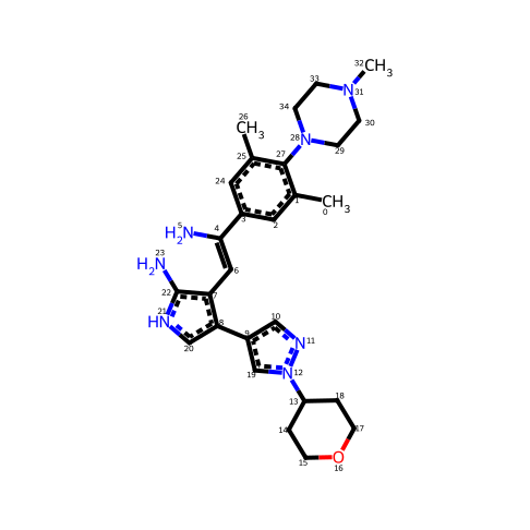 Cc1cc(/C(N)=C/c2c(-c3cnn(C4CCOCC4)c3)c[nH]c2N)cc(C)c1N1CCN(C)CC1